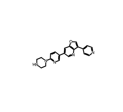 c1cc(-c2coc3cc(-c4ccc(N5CCNCC5)nc4)cnc23)ccn1